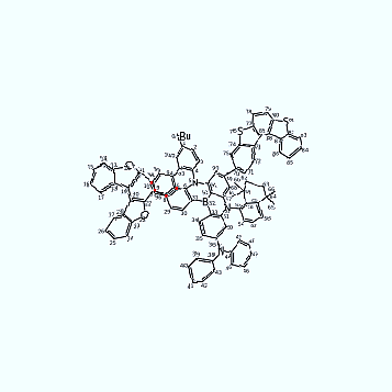 CC(C)(C)c1ccc(N2c3cc(-c4cc5oc6ccccc6c5c5c4oc4ccccc45)ccc3B3c4ccc(N(c5ccccc5)c5ccccc5)cc4N(c4cccc5c4C(C)(C)CCC5(C)C)c4cc(-c5ccc6c(c5)sc5ccc7sc8ccccc8c7c56)cc2c43)c(-c2ccccc2)c1